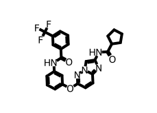 O=C(Nc1cccc(Oc2ccc3nc(NC(=O)C4CCCC4)cn3n2)c1)c1cccc(C(F)(F)F)c1